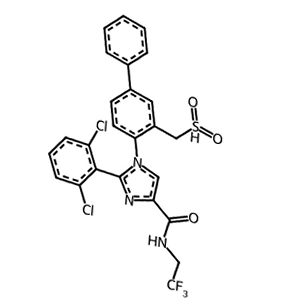 O=C(NCC(F)(F)F)c1cn(-c2ccc(-c3ccccc3)cc2C[SH](=O)=O)c(-c2c(Cl)cccc2Cl)n1